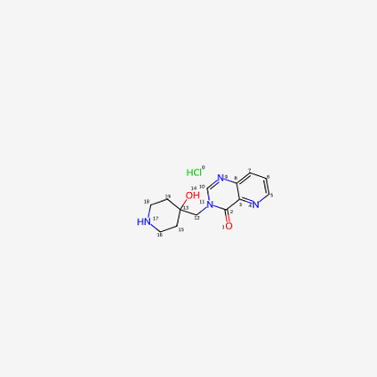 Cl.O=c1c2ncccc2ncn1CC1(O)CCNCC1